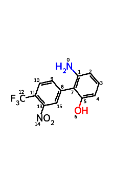 Nc1cccc(O)c1-c1ccc(C(F)(F)F)c([N+](=O)[O-])c1